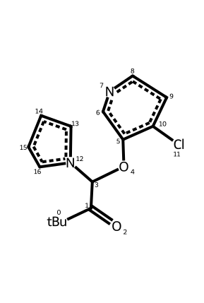 CC(C)(C)C(=O)C(Oc1cnccc1Cl)n1cccc1